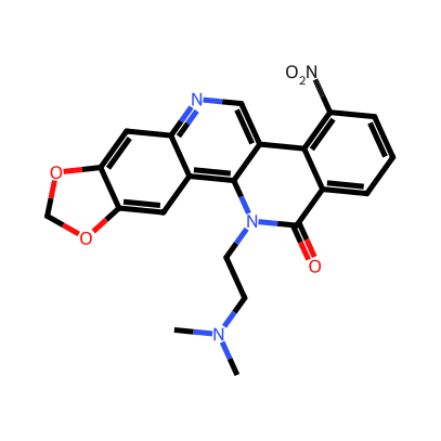 CN(C)CCn1c(=O)c2cccc([N+](=O)[O-])c2c2cnc3cc4c(cc3c21)OCO4